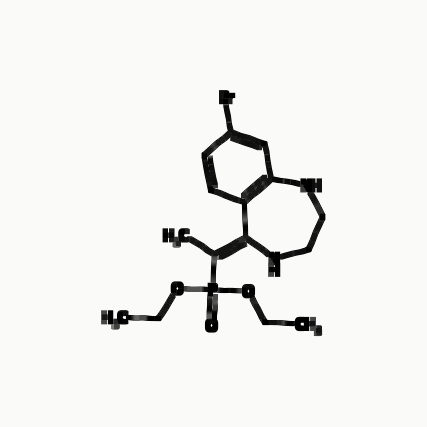 CCOP(=O)(OCC)C(C)=C1NCCNc2cc(Br)ccc21